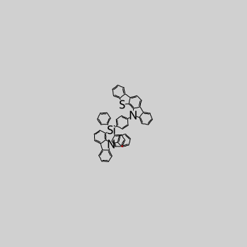 c1ccc(-n2c3ccccc3c3cccc([Si](c4ccccc4)(c4ccccc4)c4ccc(-n5c6ccccc6c6ccc7c8ccccc8sc7c65)cc4)c32)cc1